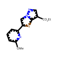 CCOC(=O)c1cnn2cc(-c3cccc(OC)n3)sc12